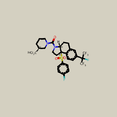 O=C(O)[C@H]1CCCN(C(=O)N2CC[C@@]3(S(=O)(=O)c4ccc(F)cc4)c4ccc(C(F)(C(F)(F)F)C(F)(F)F)cc4CC[C@@H]23)C1